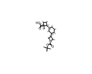 CC(C)(C)OC(=O)N1CC(C2CCCN(C3CCC3(C)C(=O)O)C2)C1